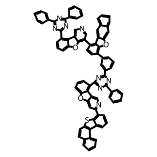 c1ccc(-c2nc(-c3cccc(-c4ccc(-c5cncc6c5oc5cccc(-c7nc(-c8ccccc8)nc(-c8ccccc8)n7)c56)c5c4oc4cc6ccccc6cc45)c3)nc(-c3cccc4oc5cc(-c6cccc7c6sc6ccc8ccccc8c67)ncc5c34)n2)cc1